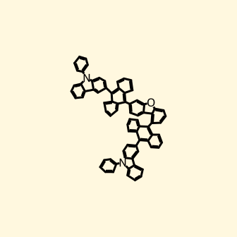 c1ccc(-n2c3ccccc3c3cc(-c4c5ccccc5c(-c5ccc6c(c5)oc5cccc(-c7c8ccccc8c(-c8ccc9c(c8)c8ccccc8n9-c8ccccc8)c8ccccc78)c56)c5ccccc45)ccc32)cc1